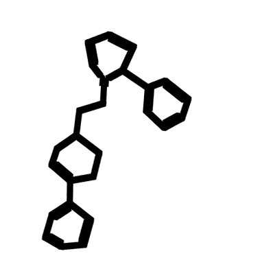 C1=CC(c2ccccc2)N(CCC2CC=C(c3ccccc3)CC2)C=C1